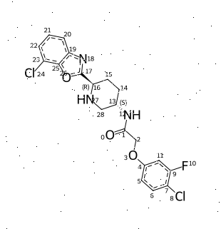 O=C(COc1ccc(Cl)c(F)c1)N[C@H]1CC[C@H](c2nc3cccc(Cl)c3o2)NC1